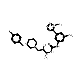 Cc1cc(NC(=O)N[C@H](C)[C@H](O)CN2CCC[C@@H](Cc3ccc(F)cc3)C2)cc(-c2nnnn2C)c1